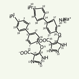 CC(C)c1ccc(-c2ccc(Oc3[nH]nnc3C(=O)[O-])cc2)cc1.CC(C)c1ccc(-c2ccc(Oc3[nH]nnc3C(=O)[O-])cc2)cc1.[Na+].[Na+]